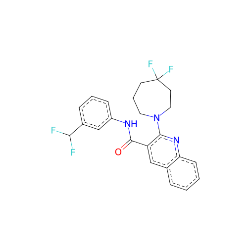 O=C(Nc1cccc(C(F)F)c1)c1cc2ccccc2nc1N1CCCC(F)(F)CC1